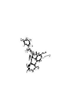 Cc1cc(C)cc(/N=C(/NP(I)c2ccccc2)c2ccccc2)c1